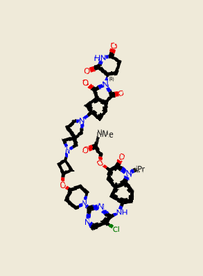 CNC(=O)COc1cc2cc(Nc3nc(N4CCC(OC5CC(N6CC7(CCN(c8ccc9c(c8)C(=O)N([C@@H]8CCC(=O)NC8=O)C9=O)C7)C6)C5)CC4)ncc3Cl)ccc2n(C(C)C)c1=O